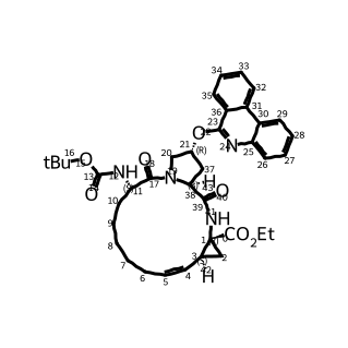 CCOC(=O)[C@@]12C[C@H]1C=CCCCCC[C@H](NC(=O)OC(C)(C)C)C(=O)N1C[C@H](Oc3nc4ccccc4c4ccccc34)C[C@H]1C(=O)N2